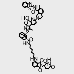 Cc1c(-c2ccc(N3CCc4cccc(C(=O)Nc5nc6ccccc6s5)c4C3)nc2C(=O)O)cnn1C[C@]12CC3CC(C1)C[C@](C(=O)NCCCCCCNc1cccc4c1C(=O)N(C1CCC(=O)NC1=O)C4=O)(C3)C2